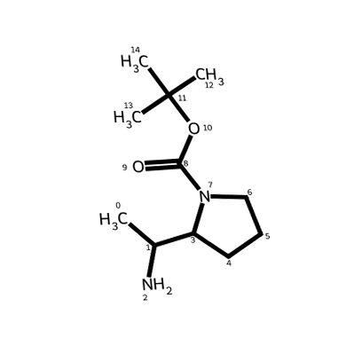 CC(N)C1CCCN1C(=O)OC(C)(C)C